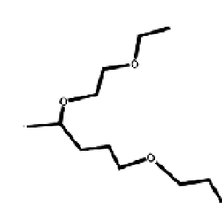 [CH2]C(CCCOCCC)OCCOCC